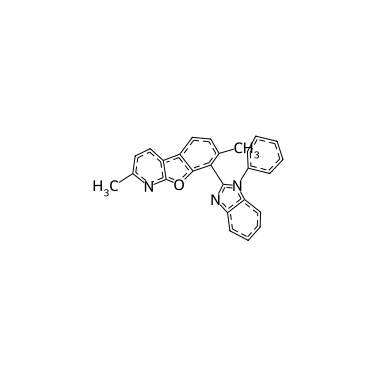 Cc1ccc2c(n1)oc1c(-c3nc4ccccc4n3-c3ccccc3)c(C)ccc12